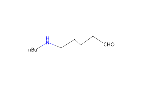 CCCCNCCCCC=O